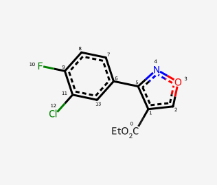 CCOC(=O)c1conc1-c1ccc(F)c(Cl)c1